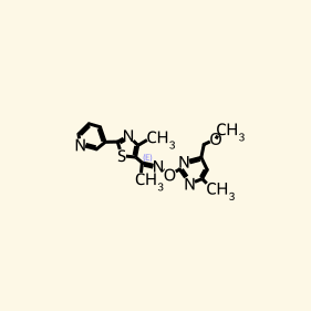 COCc1cc(C)nc(O/N=C(\C)c2sc(-c3cccnc3)nc2C)n1